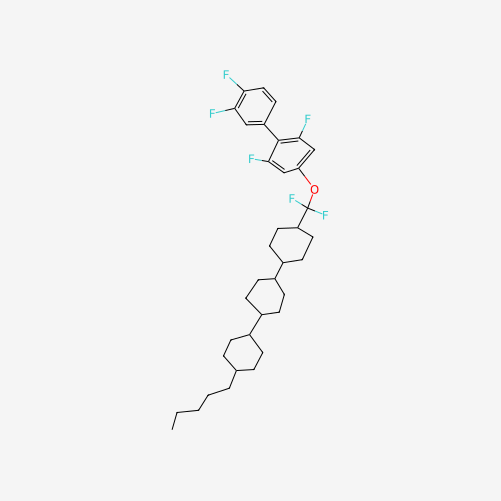 CCCCCC1CCC(C2CCC(C3CCC(C(F)(F)Oc4cc(F)c(-c5ccc(F)c(F)c5)c(F)c4)CC3)CC2)CC1